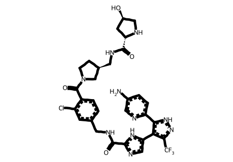 Nc1ccc(-c2[nH]nc(C(F)(F)F)c2-c2cnc(C(=O)NCc3ccc(C(=O)N4CC[C@@H](CNC(=O)[C@@H]5C[C@@H](O)CN5)C4)c(Cl)c3)[nH]2)nc1